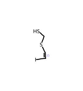 SCS/C=C\I